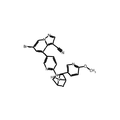 COc1ccc(C[N+]2(O)C3CC2CN(c2ccc(-c4cc(Br)cn5ncc(C#N)c45)cn2)C3)cn1